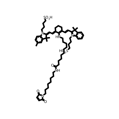 Cc1ccc2c(c1)C(C)(C)/C(=C\C=C1/CCCC(/C=C/C3=[N+](CCCCS(=O)(=O)O)c4ccccc4C3(C)C)=C1NCCCCCCCCCCC(=O)NCCCCCCCCN1C(=O)C=CC1=O)N2CCCCS(=O)(=O)O